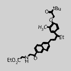 CCOC(=O)CNCC(=O)c1ccc2cc(CCC(CC)c3ccc(OCC(=O)C(C)(C)C)c(C)c3)ccc2c1